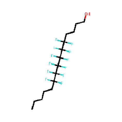 CCCCCC(F)(F)C(F)(F)C(F)(F)C(F)(F)C(F)(F)C(F)(F)CCCCO